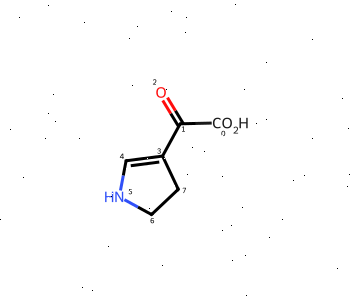 O=C(O)C(=O)C1=CNCC1